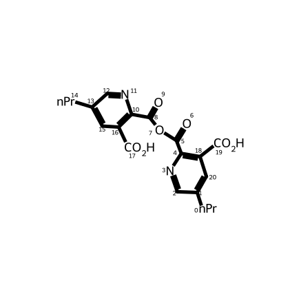 CCCc1cnc(C(=O)OC(=O)c2ncc(CCC)cc2C(=O)O)c(C(=O)O)c1